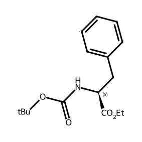 CCOC(=O)[C@H](Cc1c[c]ccc1)NC(=O)OC(C)(C)C